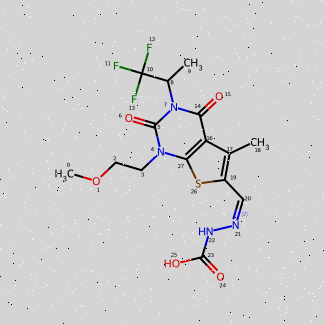 COCCn1c(=O)n(C(C)C(F)(F)F)c(=O)c2c(C)c(/C=N\NC(=O)O)sc21